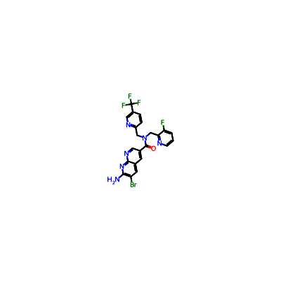 Nc1nc2ncc(C(=O)N(Cc3ccc(C(F)(F)F)cn3)Cc3ncccc3F)cc2cc1Br